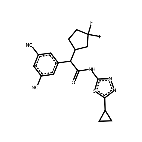 N#Cc1cc(C#N)cc(C(C(=O)Nc2nnc(C3CC3)s2)C2CCC(F)(F)C2)c1